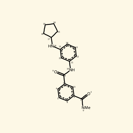 CNC(=O)c1cccc(C(=O)Nc2cccc(NC3CCCC3)c2)c1